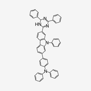 c1ccc(C2=NC(c3ccccc3)NC(c3ccc4c5ccc(-c6ccc(N(c7ccccc7)c7ccccc7)cc6)cc5n(-c5ccccc5)c4c3)=N2)cc1